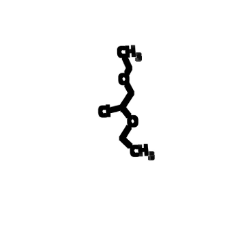 CCOC[C](Cl)OCC